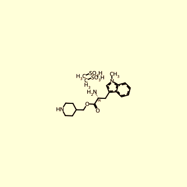 CS(=O)(=O)O.CS(=O)(=O)O.Cn1cc(C[C@@H](N)C(=O)OCC2CCNCC2)c2ccccc21